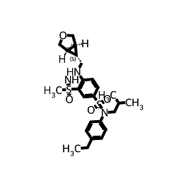 CCc1ccc(N(CC(C)C)S(=O)(=O)c2ccc(NC[C@@H]3[C@H]4COC[C@@H]34)c(S(C)(=N)=O)c2)cc1